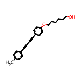 Cc1ccc(C#CC#Cc2ccc(OCCCCCCO)cc2)cc1